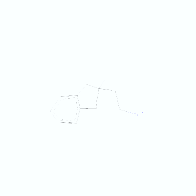 CC1(CCN)Cc2ccccc2C1